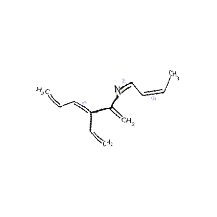 C=C/C=C(\C=C)C(=C)/N=C\C=C/C